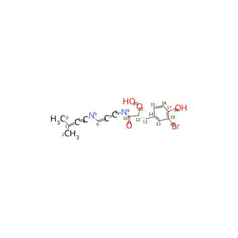 CC(C)=C=C=NC=C=C=NC(=O)[C@@H](Cc1ccc(O)c(Br)c1)OO